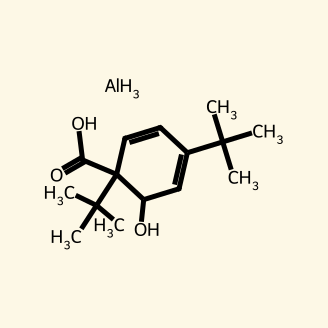 CC(C)(C)C1=CC(O)C(C(=O)O)(C(C)(C)C)C=C1.[AlH3]